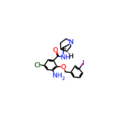 Nc1cc(Cl)cc(C(=O)N[C@@H]2CN3CCC2CC3)c1OCc1cccc(I)c1